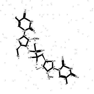 [2H]C[C@H]1O[C@@H](n2cc(C)c(=O)[nH]c2=O)[C@H](OC)[C@@H]1OP(C)(=O)C(F)(F)C[C@H]1O[C@@H](n2cc(C)c(=O)[nH]c2=O)[C@H](OC)[C@@H]1C